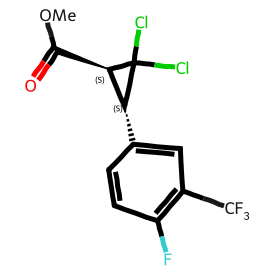 COC(=O)[C@@H]1[C@@H](c2ccc(F)c(C(F)(F)F)c2)C1(Cl)Cl